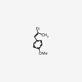 [CH2]CC(C)=Cc1ccc(OC)cc1